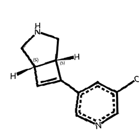 Clc1cncc(C2=C[C@@H]3CNC[C@H]23)c1